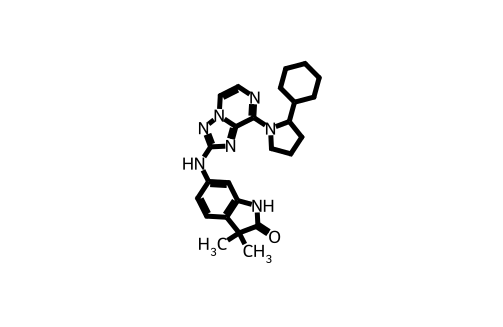 CC1(C)C(=O)Nc2cc(Nc3nc4c(N5CCCC5C5CCCCC5)nccn4n3)ccc21